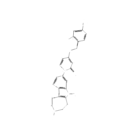 Cc1ccc(COc2ccn(-c3ccc4c5c(n(C)c4c3)CCN(C)CC5)c(=O)c2)c(C)c1